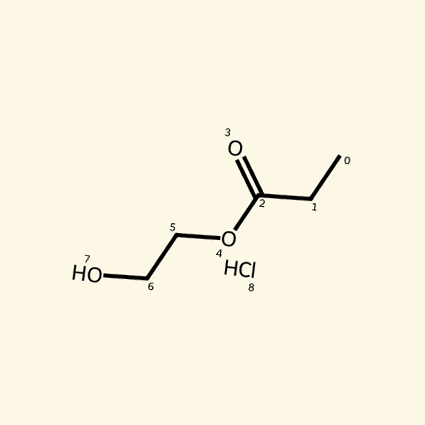 CCC(=O)OCCO.Cl